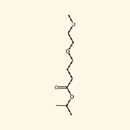 COCCOCCCC(=O)OC(C)C